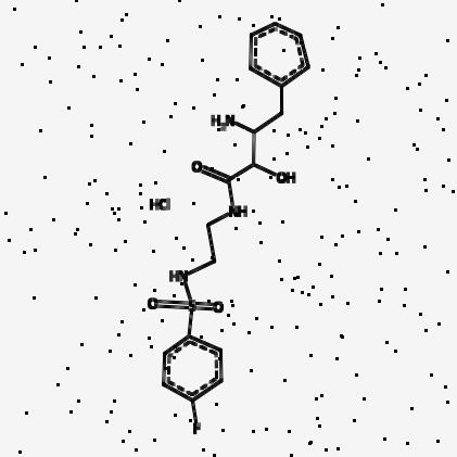 Cl.NC(Cc1ccccc1)C(O)C(=O)NCCNS(=O)(=O)c1ccc(F)cc1